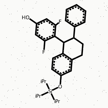 CC(C)[Si](Oc1ccc2c(c1)CCC(c1ccccc1)C2c1c(F)cc(O)cc1F)(C(C)C)C(C)C